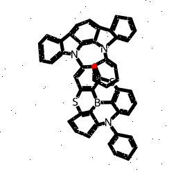 C1=CC(n2c3ccccc3c3ccc4c5ccccc5n(-c5cc6c7c(c5)Sc5cccc8c5B7c5c(cccc5N8c5ccccc5)S6)c4c32)=CCC1